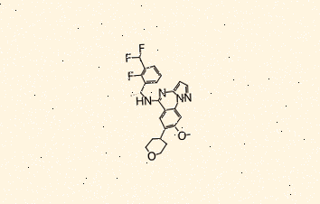 COc1cc2c(cc1C1CCOCC1)c(N[C@H](C)c1cccc(C(F)F)c1F)nc1ccnn12